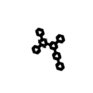 c1ccc(-c2ccc(-c3cc(-c4ccccc4)cc(-c4nc(-c5ccccc5)nc(-c5ccccc5)n4)c3)cc2)cc1